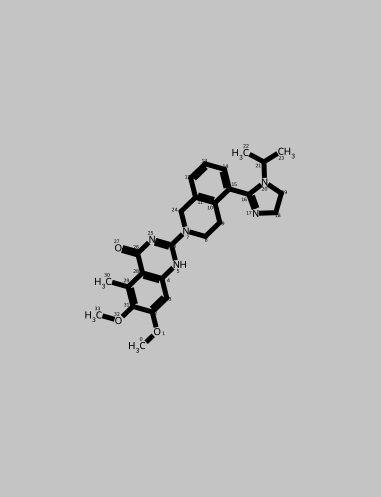 COc1cc2[nH]c(N3CCc4c(cccc4C4=NCCN4C(C)C)C3)nc(=O)c2c(C)c1OC